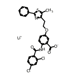 Cc1sc(-c2ccccc2)nc1CCOc1ccc(NC(=O)c2ccc(Cl)cc2Cl)c(C(=O)[O-])c1.[Li+]